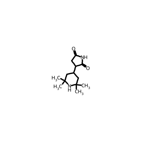 CC1(C)CC(C2CC(=O)NC2=O)CC(C)(C)N1